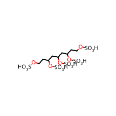 O=S(=O)(O)OCCC(CC(CC(CCOS(=O)(=O)O)OS(=O)(=O)O)OS(=O)(=O)O)OS(=O)(=O)O